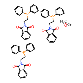 C=O.O=C1c2ccccc2C(=O)N1CCP(c1ccccc1)c1ccccc1.O=C1c2ccccc2C(=O)N1CCP(c1ccccc1)c1ccccc1.O=C1c2ccccc2C(=O)N1CCP(c1ccccc1)c1ccccc1.[Rh]